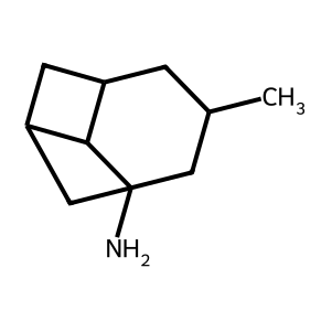 CC1CC2CC3CC(N)(C1)C23